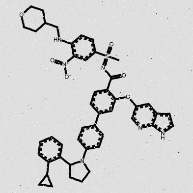 CS(=O)(=NC(=O)c1ccc(-c2ccc(N3CCCC3c3ccccc3C3CC3)cc2)cc1Oc1cnc2[nH]ccc2c1)c1ccc(NCC2CCOCC2)c([N+](=O)[O-])c1